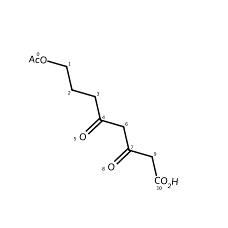 CC(=O)OCCCC(=O)CC(=O)CC(=O)O